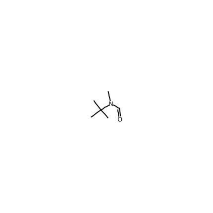 CN(C=O)C(C)(C)C